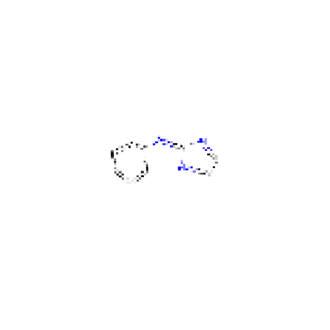 C1=NC(=Nc2ccccc2)N=C1